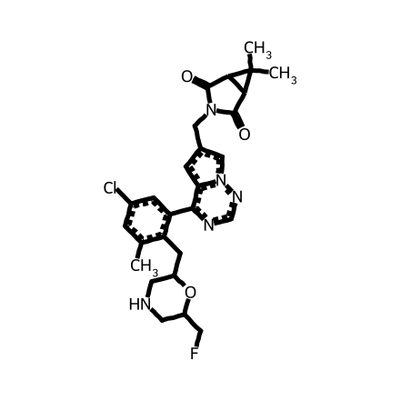 Cc1cc(Cl)cc(-c2ncnn3cc(CN4C(=O)C5C(C4=O)C5(C)C)cc23)c1CC1CNCC(CF)O1